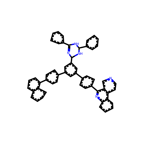 c1ccc(C2=NC(c3cc(-c4ccc(-c5cccc6ccccc56)cc4)cc(-c4ccc(-c5nc6ccccc6c6ccncc56)cc4)c3)NC(c3ccccc3)N2)cc1